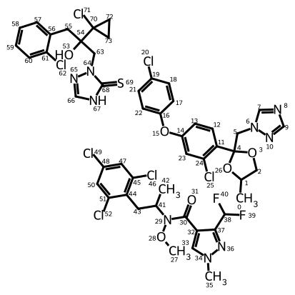 CC1COC(Cn2cncn2)(c2ccc(Oc3ccc(Cl)cc3)cc2Cl)O1.CON(C(=O)c1cn(C)nc1C(F)F)C(C)Cc1c(Cl)cc(Cl)cc1Cl.OC(Cc1ccccc1Cl)(Cn1nc[nH]c1=S)C1(Cl)CC1